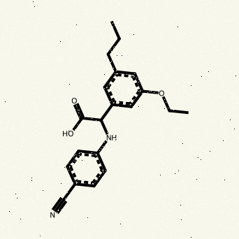 CCCc1cc(OCC)cc(C(Nc2ccc(C#N)cc2)C(=O)O)c1